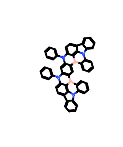 c1ccc(N2c3cc4c(cc3B3c5ccccc5-n5c6ccccc6c6ccc2c3c65)B2c3ccccc3-n3c5ccccc5c5ccc(c2c53)N4c2ccccc2)cc1